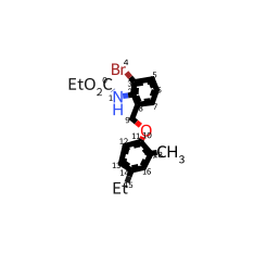 CCOC(=O)Nc1c(Br)cccc1COc1ccc(CC)cc1C